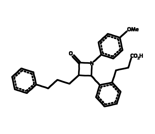 COc1ccc(N2C(=O)C(CCCc3ccccc3)C2c2ccccc2CCC(=O)O)cc1